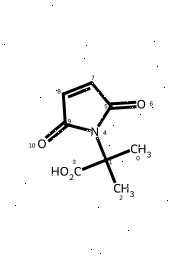 CC(C)(C(=O)O)N1C(=O)C=CC1=O